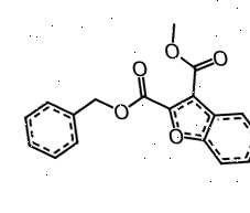 COC(=O)c1c(C(=O)OCc2ccccc2)oc2ccccc12